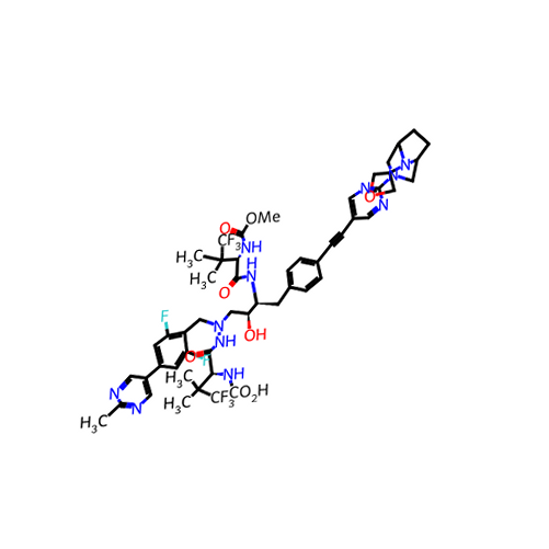 COC(=O)N[C@H](C(=O)N[C@@H](Cc1ccc(C#Cc2cnc(N3CC4CCC(C3)N4C3COC3)nc2)cc1)[C@@H](O)CN(Cc1c(F)cc(-c2cnc(C)nc2)cc1F)NC(=O)[C@@H](NC(=O)O)C(C)(C)C(F)(F)F)C(C)(C)C(F)(F)F